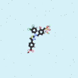 COC(=O)c1ccc(-c2csc(N(Cc3ccc(CP(=O)(OF)OF)c(Br)c3)c3ccc(Cl)c(Cl)c3)n2)cc1